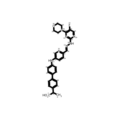 CC(C(=O)O)c1ccc(-c2ccc(Nc3ccc(/C=N/Nc4ncc(F)c(N5CCOCC5)n4)nc3)cc2)cc1